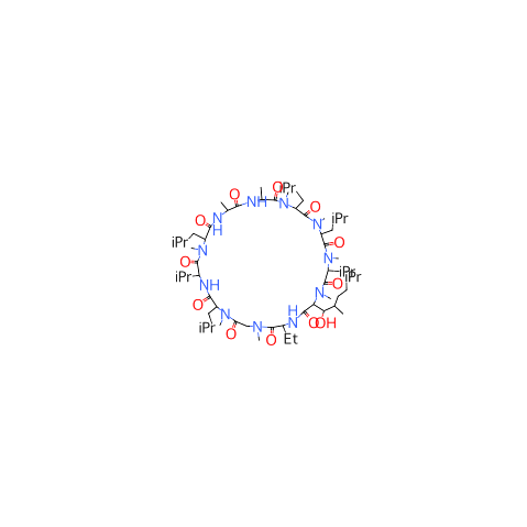 CCC1NC(=O)C(C(O)C(C)CCC(C)C)N(C)C(=O)C(C(C)C)N(C)C(=O)C(CC(C)C)N(C)C(=O)C(CC(C)C)N(C)C(=O)C(C)NC(=O)C(C)NC(=O)C(CC(C)C)N(C)C(=O)C(C(C)C)NC(=O)C(CC(C)C)N(C)C(=O)CN(C)C1=O